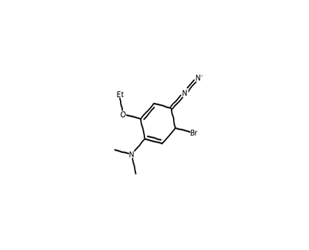 CCOC1=CC(=[N+]=[N-])C(Br)C=C1N(C)C